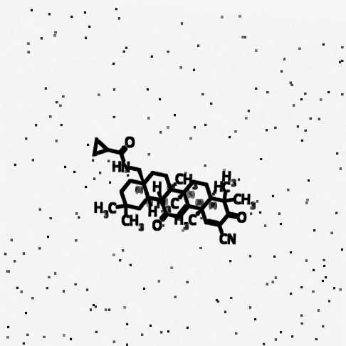 CC1(C)CC[C@]2(CNC(=O)C3CC3)CC[C@]3(C)[C@H](C(=O)C=C4[C@@]5(C)C=C(C#N)C(=O)C(C)(C)[C@@H]5CC[C@]43C)[C@@H]2C1